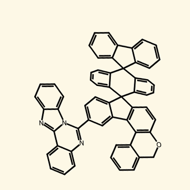 c1ccc2c(c1)COc1ccc3c(c1-2)-c1cc(-c2nc4ccccc4c4nc5ccccc5n24)ccc1C31c2ccccc2C2(c3ccccc3-c3ccccc32)c2ccccc21